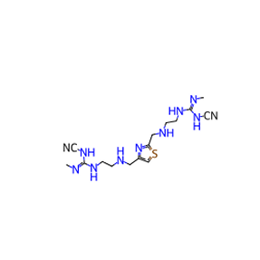 CN=C(NC#N)NCCNCc1csc(CNCCNC(=NC)NC#N)n1